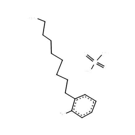 CCCCCCCCCc1cccc[c]1[Na].O=S(=O)(O)O